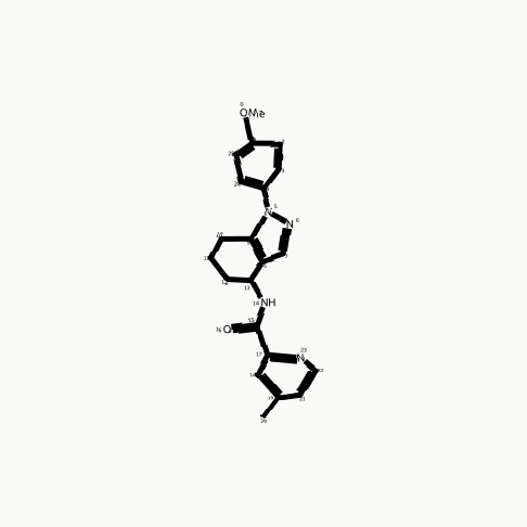 COc1ccc(-n2ncc3c2CCCC3NC(=O)c2cc(C)ccn2)cc1